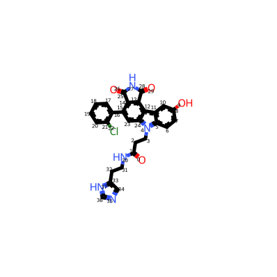 O=C(CCn1c2ccc(O)cc2c2c3c(c(-c4ccccc4Cl)cc21)C(=O)NC3=O)NCCc1cnc[nH]1